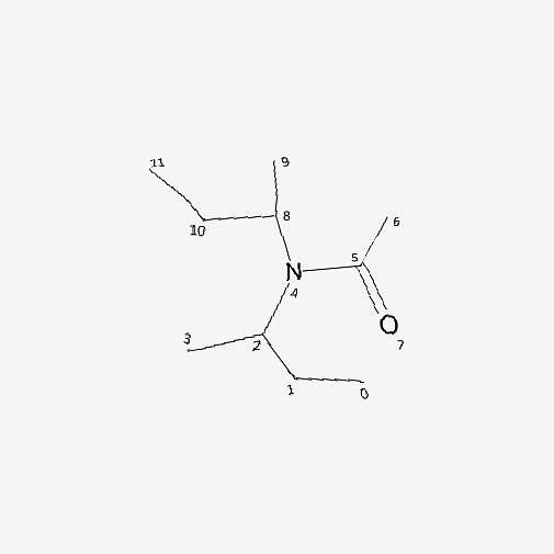 CCC(C)N(C(C)=O)C(C)CC